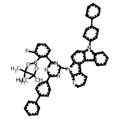 CC1(C)OB(c2c(F)cccc2-c2nc(-c3ccc(-c4ccccc4)cc3)nc(-n3c4ccccc4c4c5c6ccccc6n(-c6ccc(-c7ccccc7)cc6)c5ccc43)n2)OC1(C)C